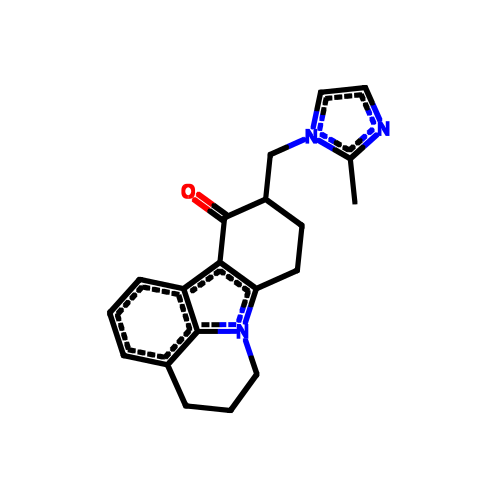 Cc1nccn1CC1CCc2c(c3cccc4c3n2CCC4)C1=O